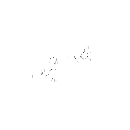 C=C(C)/C=C(\C=C(/N)c1cccc(CCCO/N=C(\C)c2nc(C)cc(C)n2)n1)OC